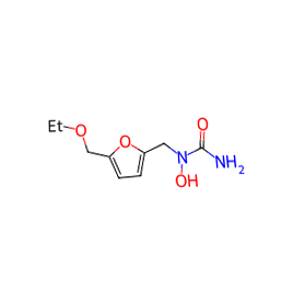 CCOCc1ccc(CN(O)C(N)=O)o1